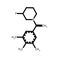 C=C(c1cc(C)c(C)c(C)c1)N1CCCC(F)C1